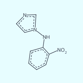 O=[N+]([O-])c1ccccc1Nn1ccnc1